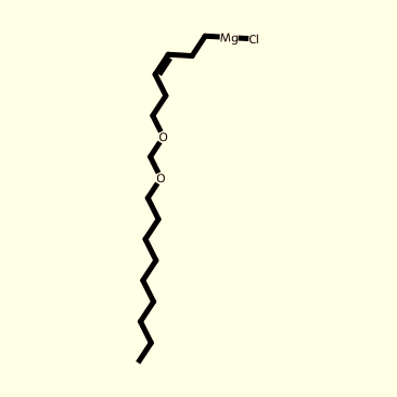 CCCCCCCCCOCOCC/C=C\C[CH2][Mg][Cl]